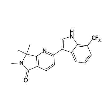 CN1C(=O)c2ccc(-c3c[nH]c4c(C(F)(F)F)cccc34)nc2C1(C)C